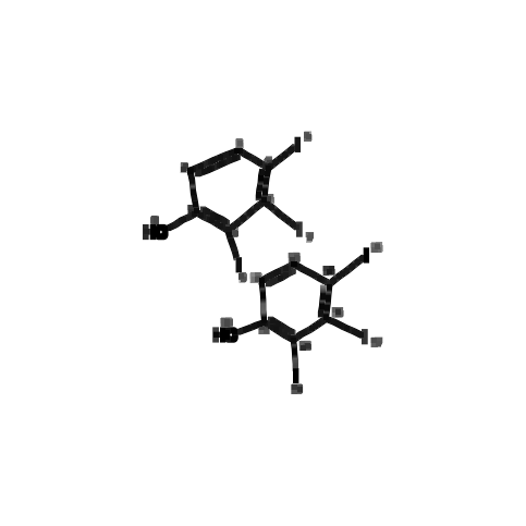 Oc1ccc(I)c(I)c1I.Oc1ccc(I)c(I)c1I